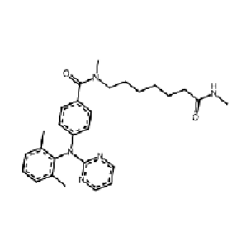 CNC(=O)CCCCCCN(C)C(=O)c1ccc(N(c2ncccn2)c2c(C)cccc2C)cc1